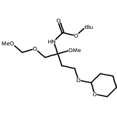 COCOCC(CCOC1CCCCO1)(NC(=O)OC(C)(C)C)OC